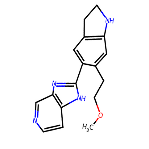 COCCc1cc2c(cc1-c1nc3cnccc3[nH]1)CCN2